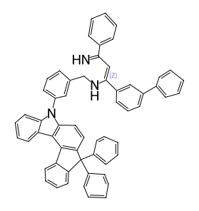 N=C(/C=C(\NCc1cccc(-n2c3ccccc3c3c4c(ccc32)C(c2ccccc2)(c2ccccc2)c2ccccc2-4)c1)c1cccc(-c2ccccc2)c1)c1ccccc1